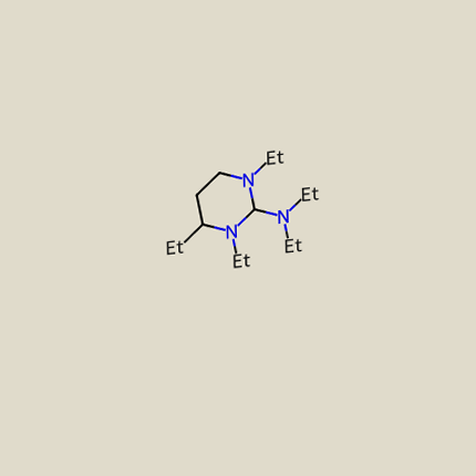 CCC1CCN(CC)C(N(CC)CC)N1CC